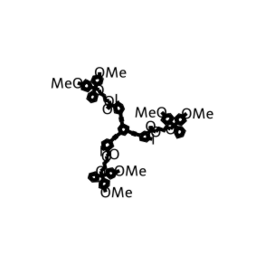 COc1ccc(C(OCCCOC(=O)c2cc(C#Cc3cc(C#Cc4ccc(I)c(C(=O)OCCCOC(c5ccccc5)(c5ccc(OC)cc5)c5ccc(OC)cc5)c4)cc(C#Cc4ccc(I)c(C(=O)OCCCOC(c5ccccc5)(c5ccc(OC)cc5)c5ccc(OC)cc5)c4)c3)ccc2I)(c2ccccc2)c2ccc(OC)cc2)cc1